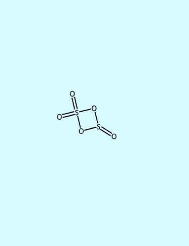 O=S1OS(=O)(=O)O1